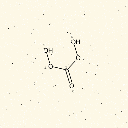 O=C(OO)OO